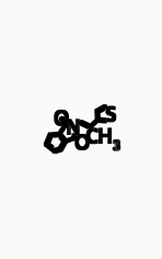 CC(=CN1C(=O)c2ccccc2C1=O)c1ccsc1